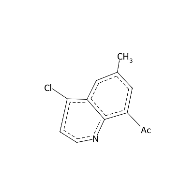 CC(=O)c1cc(C)cc2c(Cl)ccnc12